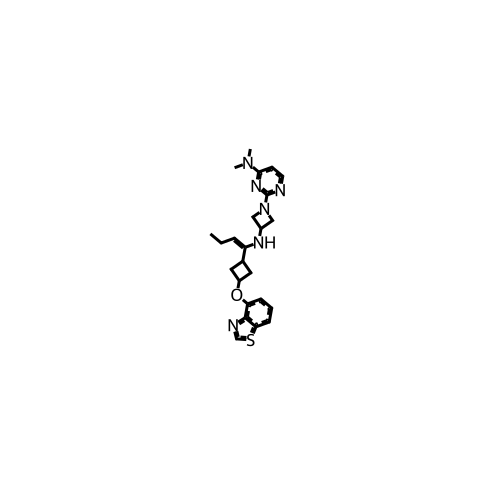 CC/C=C(/NC1CN(c2nccc(N(C)C)n2)C1)C1CC(Oc2cccc3scnc23)C1